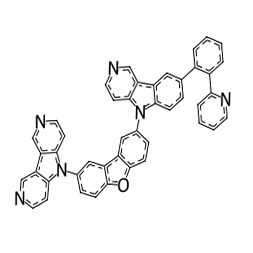 c1ccc(-c2ccccc2-c2ccc3c(c2)c2cnccc2n3-c2ccc3oc4ccc(-n5c6ccncc6c6cnccc65)cc4c3c2)nc1